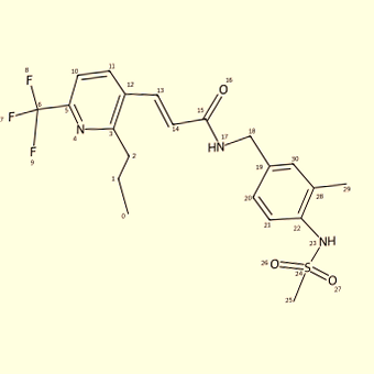 CCCc1nc(C(F)(F)F)ccc1C=CC(=O)NCc1ccc(NS(C)(=O)=O)c(C)c1